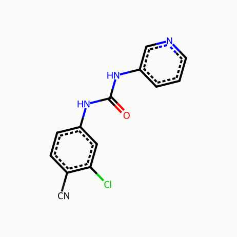 N#Cc1ccc(NC(=O)Nc2cccnc2)cc1Cl